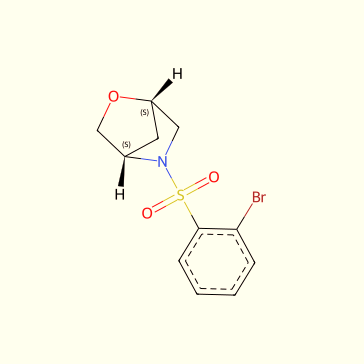 O=S(=O)(c1ccccc1Br)N1C[C@@H]2C[C@H]1CO2